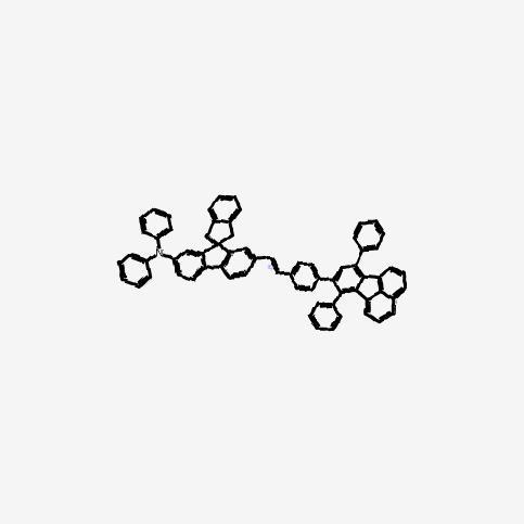 C(=C\c1ccc2c(c1)C1(Cc3ccccc3C1)c1cc(N(c3ccccc3)c3ccccc3)ccc1-2)/c1ccc(-c2cc(-c3ccccc3)c3c(c2-c2ccccc2)-c2cccc4cccc-3c24)cc1